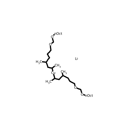 CCCCCCCCOCOCCCC(C)C[CH](C)[Cu][CH](C)CC(C)CCCOCOCCCCCCCC.[Li]